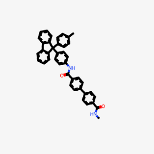 CNC(=O)c1ccc(-c2ccc(C(=O)Nc3ccc(C4(c5ccc(C)cc5)c5ccccc5-c5ccccc54)cc3)cc2)cc1